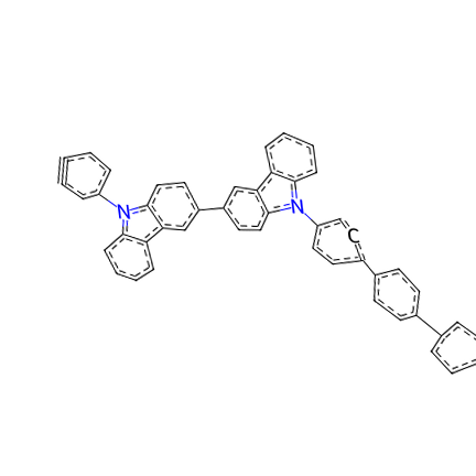 c1ccc(-n2c3ccccc3c3cc(-c4ccc5c(c4)c4ccccc4n5-c4ccc(-c5ccc(-c6ccccc6)cc5)cc4)ccc32)cc#1